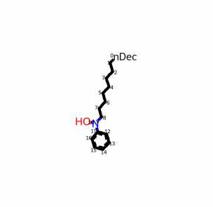 CCCCCCCCCCCCCCCCCCN(O)c1ccccc1